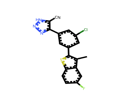 Cc1c(-c2cc(Cl)cc(-c3nn[nH]c3C#N)c2)sc2ccc(F)cc12